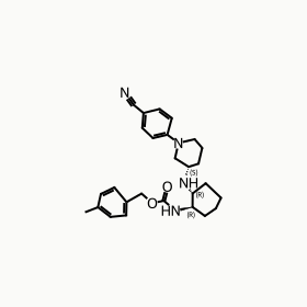 Cc1ccc(COC(=O)N[C@@H]2CCCC[C@H]2N[C@H]2CCCN(c3ccc(C#N)cc3)C2)cc1